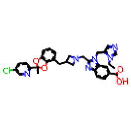 CCn1cncc1Cn1c(CN2CC(Cc3cccc4c3OC(C)(c3ccc(Cl)cn3)O4)C2)nc2ccc(C(=O)O)cc21